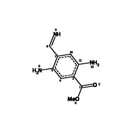 COC(=O)c1cc(N)c(C=N)cc1N